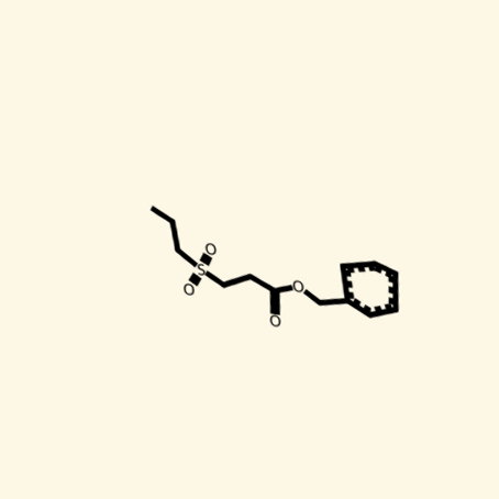 CCCS(=O)(=O)CCC(=O)OCc1ccccc1